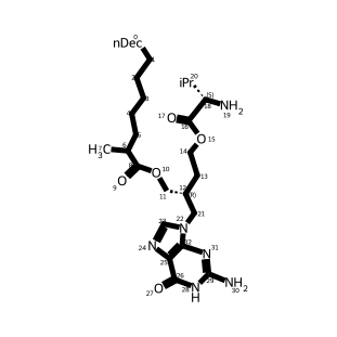 CCCCCCCCCCCCCCCC(C)C(=O)OC[C@H](CCOC(=O)[C@@H](N)C(C)C)Cn1cnc2c(=O)[nH]c(N)nc21